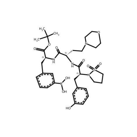 CC(C)(C)OC(=O)[C@H](Cc1cccc(B(O)O)c1)NC(=O)[C@H](CCN1CCOCC1)NC(=O)[C@H](Cc1cccc(O)c1)N1CCCS1(=O)=O